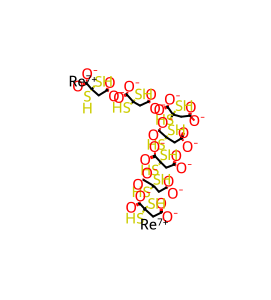 O=C([O-])CC(S)(S)C(=O)[O-].O=C([O-])CC(S)(S)C(=O)[O-].O=C([O-])CC(S)(S)C(=O)[O-].O=C([O-])CC(S)(S)C(=O)[O-].O=C([O-])CC(S)(S)C(=O)[O-].O=C([O-])CC(S)(S)C(=O)[O-].O=C([O-])CC(S)(S)C(=O)[O-].[Re+7].[Re+7]